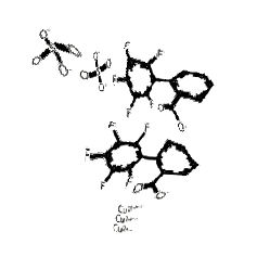 O=C([O-])c1ccccc1-c1c(F)c(F)c(F)c(F)c1F.O=C([O-])c1ccccc1-c1c(F)c(F)c(F)c(F)c1F.O=S(=O)([O-])[O-].O=S(=O)([O-])[O-].[Cu+2].[Cu+2].[Cu+2]